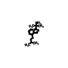 CC(C)CSc1cccn2c(C(C)(C)N)ncc12